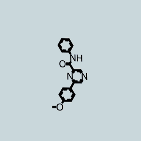 COc1ccc(-c2cncc(C(=O)Nc3ccccc3)n2)cc1